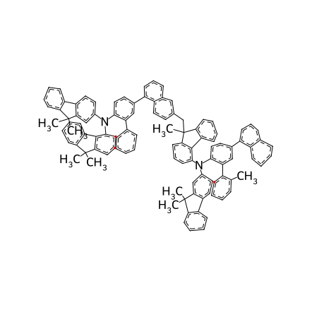 Cc1ccccc1-c1cc(-c2cccc3ccccc23)ccc1N(c1ccc2c(c1)C(C)(C)c1ccccc1-2)c1cccc2c1-c1ccccc1C2(C)Cc1ccc2c(-c3ccc(N(c4ccc5c(c4)C(C)(C)c4ccccc4-5)c4cccc5c4-c4ccccc4C5(C)C)c(-c4ccccc4)c3)cccc2c1